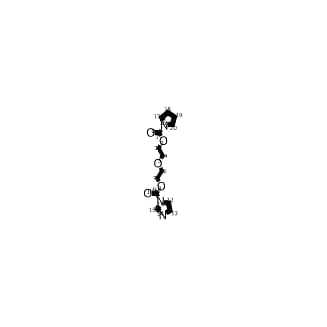 O=C(OCCOCCOC(=O)n1ccnc1)n1cccc1